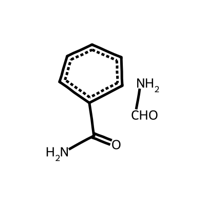 NC(=O)c1ccccc1.NC=O